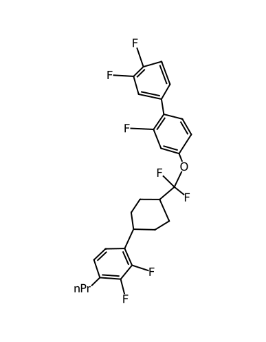 CCCc1ccc(C2CCC(C(F)(F)Oc3ccc(-c4ccc(F)c(F)c4)c(F)c3)CC2)c(F)c1F